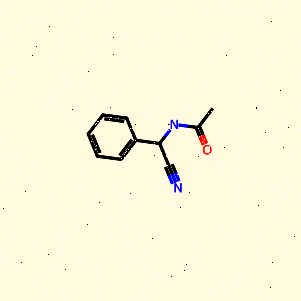 CC(=O)[N]C(C#N)c1ccccc1